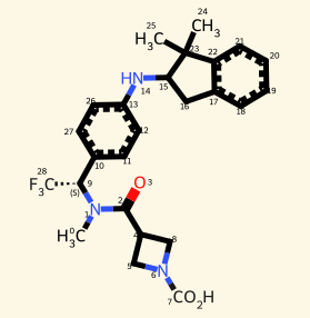 CN(C(=O)C1CN(C(=O)O)C1)[C@@H](c1ccc(NC2Cc3ccccc3C2(C)C)cc1)C(F)(F)F